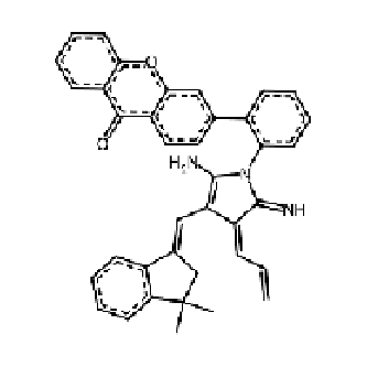 C=C/C=C1\C(=N)N(c2ccccc2-c2ccc3c(=O)c4ccccc4oc3c2)C(N)=C1/C=C1\CC(C)(C)c2ccccc21